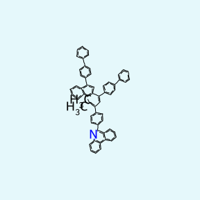 CC(C)=C(/C=C(/c1ccc(-c2ccccc2)cc1)c1cc(-c2ccc(-c3ccccc3)cc2)c2ccccc2c1)c1ccc(-c2nc3ccccc3c3ccccc23)cc1